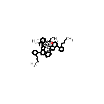 CCCCc1ccccc1-c1cccc2c1C=C(c1ccccc1)[CH]2[Hf]([Cl])([Cl])([B](NC(=O)CC)NC(=O)CC)[CH]1C(c2ccccc2)=Cc2c(-c3ccccc3CCCC)cccc21